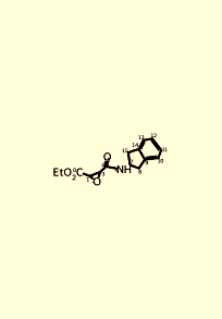 CCOC(=O)C1OC1C(=O)NC1Cc2ccccc2C1